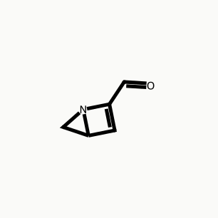 O=CC1=CC2CN12